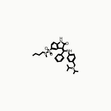 CCCCN(C)S(=O)(=O)c1ccc2c(c1)/C(=C(/Nc1ccc(CN(C(C)C)C(C)C)cc1)c1ccccc1)C(=O)N2